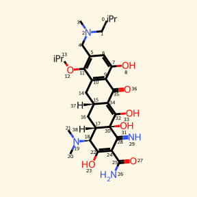 CC(C)CN(C)Cc1cc(O)c2c(c1OC(C)C)C[C@H]1C[C@H]3[C@H](N(C)C)C(O)=C(C(N)=O)C(=N)[C@@]3(O)C(O)=C1C2=O